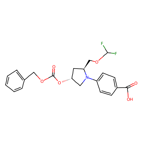 O=C(OCc1ccccc1)O[C@@H]1C[C@@H](COC(F)F)N(c2ccc(C(=O)O)cc2)C1